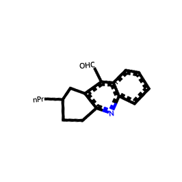 CCCC1CCc2nc3ccccc3c(C=O)c2C1